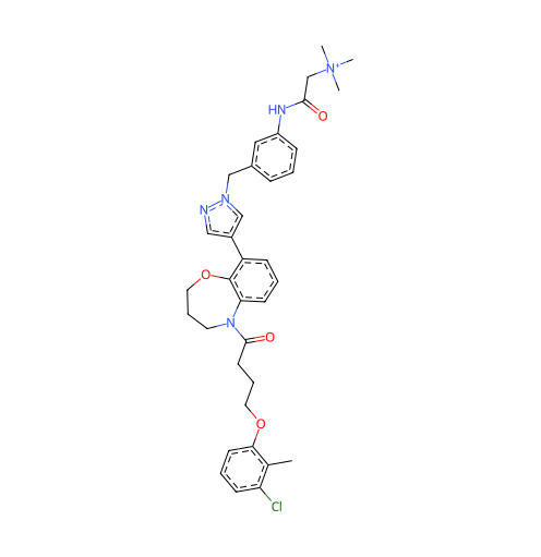 Cc1c(Cl)cccc1OCCCC(=O)N1CCCOc2c(-c3cnn(Cc4cccc(NC(=O)C[N+](C)(C)C)c4)c3)cccc21